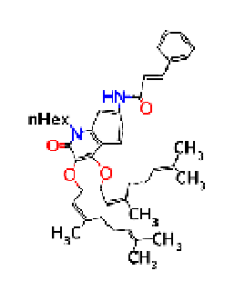 CCCCCCn1c(=O)c(OCC=C(C)CCC=C(C)C)c(OCC=C(C)CCC=C(C)C)c2ccc(NC(=O)C=Cc3ccccc3)cc21